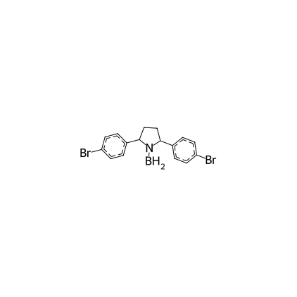 BN1C(c2ccc(Br)cc2)CCC1c1ccc(Br)cc1